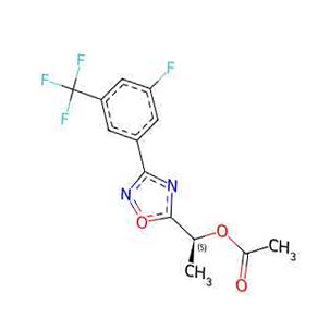 CC(=O)O[C@@H](C)c1nc(-c2cc(F)cc(C(F)(F)F)c2)no1